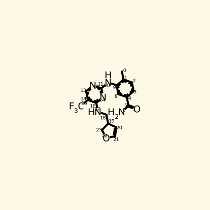 Cc1ccc(C(N)=O)cc1Nc1ncc(C(F)(F)F)c(NCC2C=COC2)n1